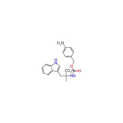 CC(Cc1c[nH]c2ccccc12)(NC(=O)OCc1ccc([N+](=O)[O-])cc1)C(=O)O